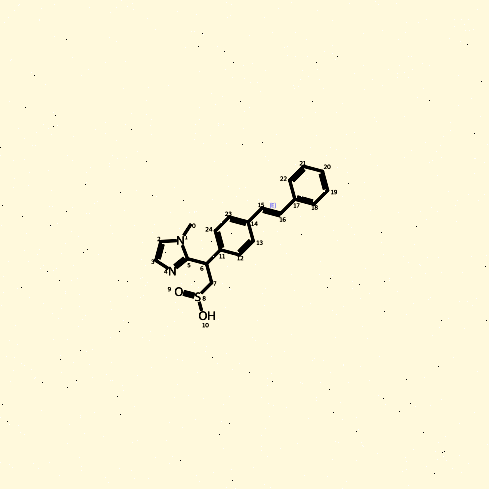 Cn1ccnc1C(CS(=O)O)c1ccc(/C=C/c2ccccc2)cc1